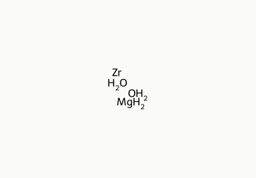 O.O.[MgH2].[Zr]